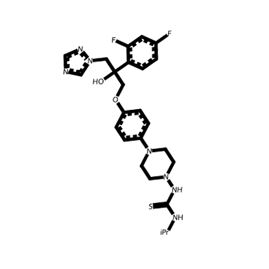 CC(C)NC(=S)NN1CCN(c2ccc(OCC(O)(Cn3cncn3)c3ccc(F)cc3F)cc2)CC1